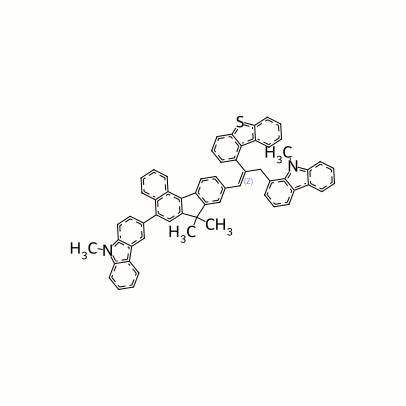 Cn1c2ccccc2c2cc(-c3cc4c(c5ccccc35)-c3ccc(/C=C(/Cc5cccc6c7ccccc7n(C)c56)c5cccc6sc7ccccc7c56)cc3C4(C)C)ccc21